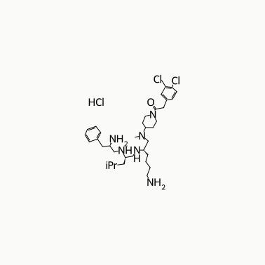 CC(C)C[C@H](CN[C@H](CCCCN)CN(C)C1CCN(C(=O)Cc2ccc(Cl)c(Cl)c2)CC1)NC[C@H](N)Cc1ccccc1.Cl